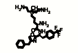 C[N+](CCN)(CCN)CCC[C@H](N)C(=O)N[C@@H](Cc1ccc(C(F)(F)F)cc1)c1nc(Cc2ccccc2)co1